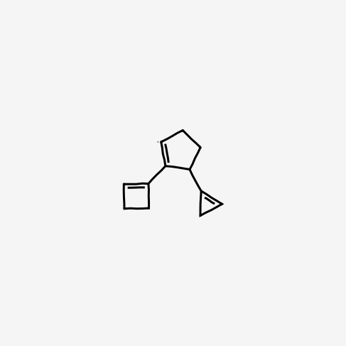 [C]1=C(C2=CCC2)C(C2=CC2)CC1